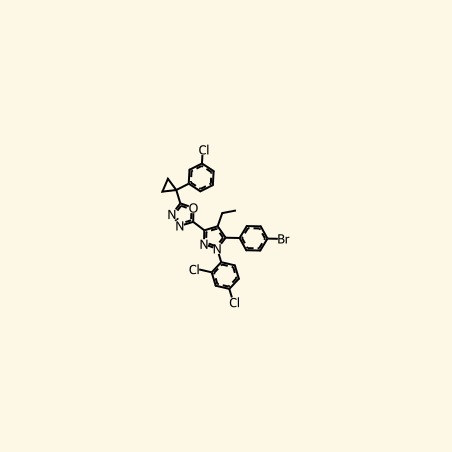 CCc1c(-c2nnc(C3(c4cccc(Cl)c4)CC3)o2)nn(-c2ccc(Cl)cc2Cl)c1-c1ccc(Br)cc1